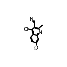 COc1ccc2c(Cl)c(C#N)c(C)nc2c1